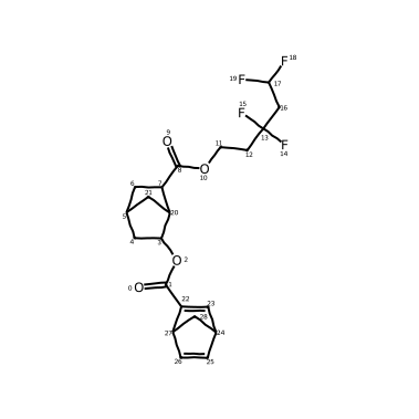 O=C(OC1CC2CC(C(=O)OCCC(F)(F)CC(F)F)C1C2)C1=CC2C=CC1C2